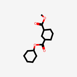 COC(=O)C1CCCC(C(=O)OC2CCCCC2)C1